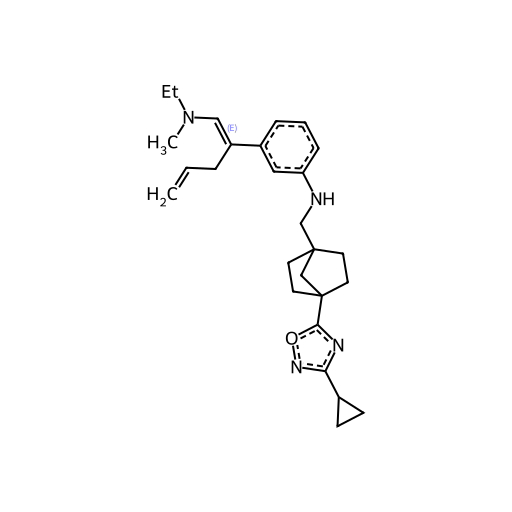 C=CC/C(=C\N(C)CC)c1cccc(NCC23CCC(c4nc(C5CC5)no4)(CC2)C3)c1